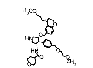 COCCCN1CCOc2ccc(CO[C@H]3CNC[C@@H](CNC(=O)C4CCOCC4)[C@@H]3c3ccc(COCCOC)cc3)cc21